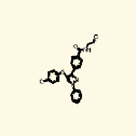 O=C(NCCCl)c1ccc(-c2nn(-c3ccccc3)cc2Sc2ccc(Cl)cc2)cc1